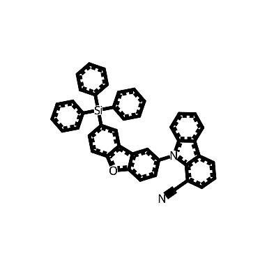 N#Cc1cccc2c3ccccc3n(-c3ccc4oc5ccc([Si](c6ccccc6)(c6ccccc6)c6ccccc6)cc5c4c3)c12